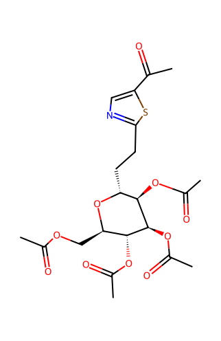 CC(=O)OC[C@H]1O[C@H](CCc2ncc(C(C)=O)s2)[C@@H](OC(C)=O)[C@@H](OC(C)=O)[C@@H]1OC(C)=O